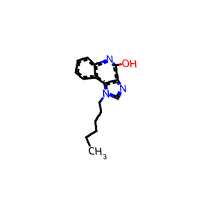 CCCCCCn1cnc2c(O)nc3ccccc3c21